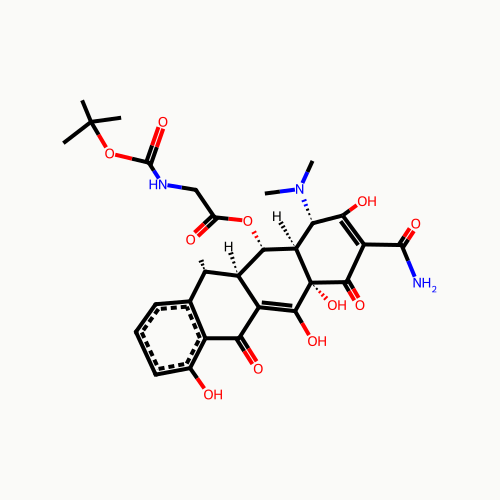 C[C@H]1c2cccc(O)c2C(=O)C2=C(O)[C@]3(O)C(=O)C(C(N)=O)=C(O)[C@@H](N(C)C)[C@@H]3[C@@H](OC(=O)CNC(=O)OC(C)(C)C)[C@@H]21